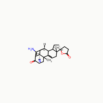 CC12CC=C3C(C1CC[C@@]21CCC(=O)O1)[C@H]1C[C@]2(C#N)C(=C1N)C(=O)CCC32C